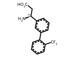 N[C@@H](CC(=O)O)c1cccc(-c2ccccc2C(F)(F)F)c1